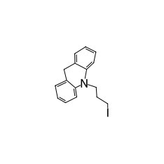 ICCCN1c2ccccc2Cc2ccccc21